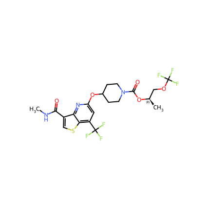 CNC(=O)c1csc2c(C(F)(F)F)cc(OC3CCN(C(=O)O[C@H](C)COC(F)(F)F)CC3)nc12